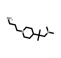 CN(C)CC(C)(C)C1CCN(CCCN)CC1